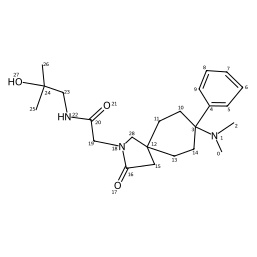 CN(C)C1(c2ccccc2)CCC2(CC1)CC(=O)N(CC(=O)NCC(C)(C)O)C2